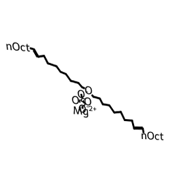 CCCCCCCCC=CCCCCCCCCOCCCCCCCCC=CCCCCCCCC.O=S(=O)([O-])[O-].[Mg+2]